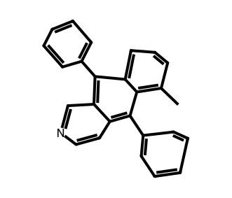 Cc1cccc2c(-c3ccccc3)c3cnccc3c(-c3ccccc3)c12